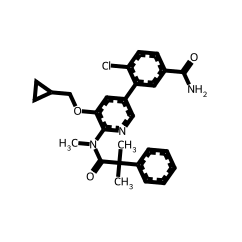 CN(C(=O)C(C)(C)c1ccccc1)c1ncc(-c2cc(C(N)=O)ccc2Cl)cc1OCC1CC1